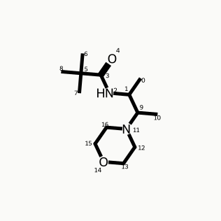 CC(NC(=O)C(C)(C)C)C(C)N1CCOCC1